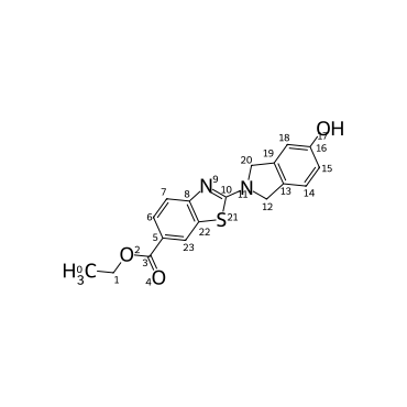 CCOC(=O)c1ccc2nc(N3Cc4ccc(O)cc4C3)sc2c1